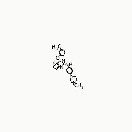 Cc1cccc(Oc2nc(Nc3ccc(N4CCN(C)CC4)cc3)nc3ccsc23)c1